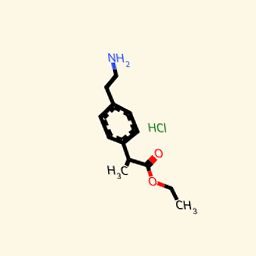 CCOC(=O)C(C)c1ccc(CCN)cc1.Cl